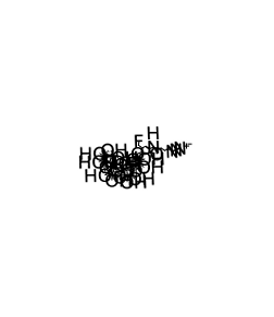 [N-]=[N+]=NCCCC(=O)Nc1ccc(O[C@@H]2OC(CO)[C@@H](O[C@H]3OC(CO)[C@@H](O[C@H]4OC(CO)[C@@H](O[C@H]5OC(CO)[C@@H](O)C(O)C5O)C(O)C4O)C(O)C3O)C(O)C2O)c(CF)c1